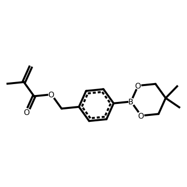 C=C(C)C(=O)OCc1ccc(B2OCC(C)(C)CO2)cc1